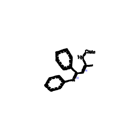 CON/C(C)=C\C(=N\c1ccccc1)c1ccccc1